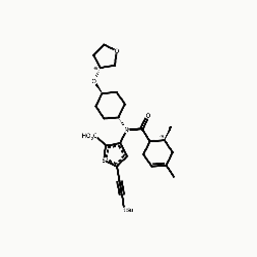 CC1=CCC(C(=O)N(c2cc(C#CC(C)(C)C)sc2C(=O)O)[C@H]2CC[C@H](O[C@@H]3CCOC3)CC2)[C@@H](C)C1